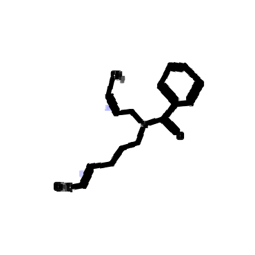 C/C=C\CN(CCC/C=C/C=O)C(=O)c1ccccc1